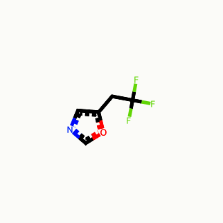 FC(F)(F)Cc1cn[c]o1